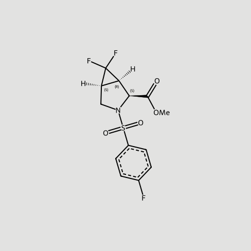 COC(=O)[C@@H]1[C@H]2[C@@H](CN1S(=O)(=O)c1ccc(F)cc1)C2(F)F